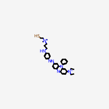 CC[N+](CC)=c1ccc2nc3ccc(/N=N/c4ccc(NCCC[N+](C)(C)CCS)cc4)cc3n(-c3ccccc3)c-2c1